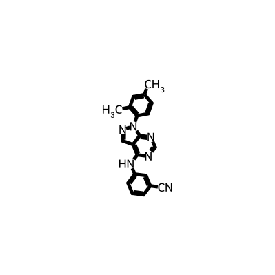 Cc1ccc(-n2ncc3c(Nc4cccc(C#N)c4)ncnc32)c(C)c1